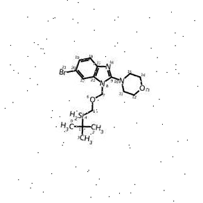 CC(C)(C)[SiH2]COCn1c(N2CCOCC2)nc2ccc(Br)cc21